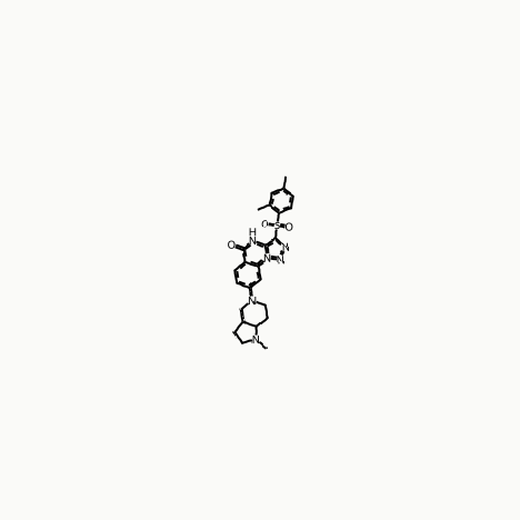 Cc1ccc(S(=O)(=O)c2nnn3c2[nH]c(=O)c2ccc(N4CCC5C(CCN5C)C4)cc23)c(C)c1